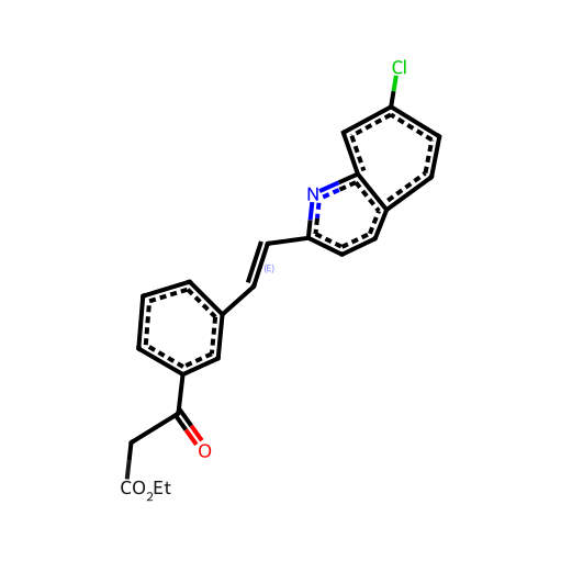 CCOC(=O)CC(=O)c1cccc(/C=C/c2ccc3ccc(Cl)cc3n2)c1